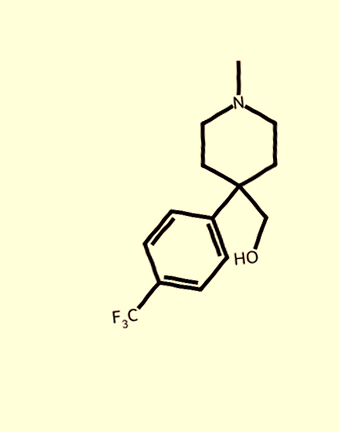 CN1CCC(CO)(c2ccc(C(F)(F)F)cc2)CC1